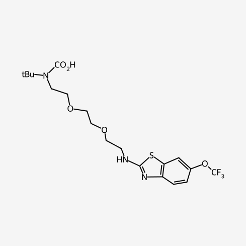 CC(C)(C)N(CCOCCOCCNc1nc2ccc(OC(F)(F)F)cc2s1)C(=O)O